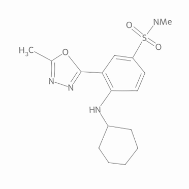 CNS(=O)(=O)c1ccc(NC2CCCCC2)c(-c2nnc(C)o2)c1